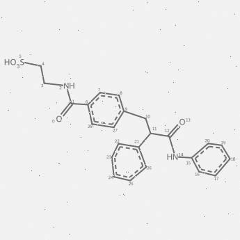 O=C(NCCS(=O)(=O)O)c1ccc(CC(C(=O)Nc2ccccc2)c2ccccc2)cc1